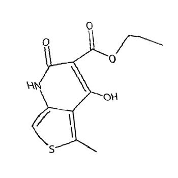 CCOC(=O)c1c(O)c2c(C)scc2[nH]c1=O